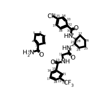 NC(=O)c1ccccc1.O=C(CNC(=O)c1cccc(C(F)(F)F)c1)N[C@H]1CCCC[C@H]1NC(=O)c1ccc(Cl)cc1